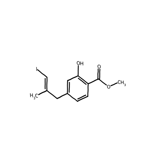 COC(=O)c1ccc(CC(C)=CI)cc1O